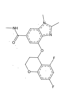 CNC(=O)c1cc(OC2CCOc3cc(F)cc(F)c32)c2nc(C)n(C)c2c1